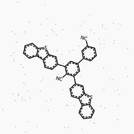 N#Cc1cccc(-c2cc(-c3ccc4c(c3)sc3ccccc34)c(C#N)c(-c3ccc4c(c3)sc3ccccc34)c2)c1